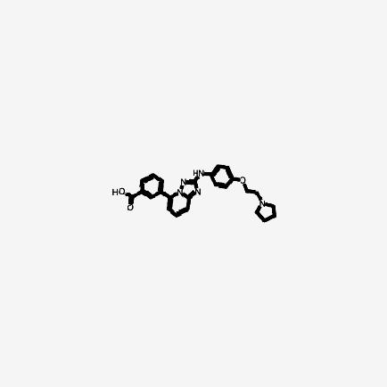 O=C(O)c1cccc(-c2cccc3nc(Nc4ccc(OCCN5CCCC5)cc4)nn23)c1